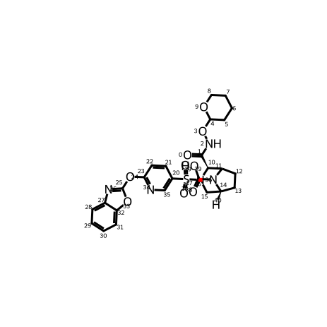 O=C(NOC1CCCCO1)[C@H]1C2CC[C@H](CN1S(=O)(=O)c1ccc(Oc3nc4ccccc4o3)nc1)N2C(=O)O